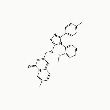 COc1ccccc1-n1c(SCc2cc(=O)n3cc(C)ccc3n2)nnc1-c1ccc(C)cc1